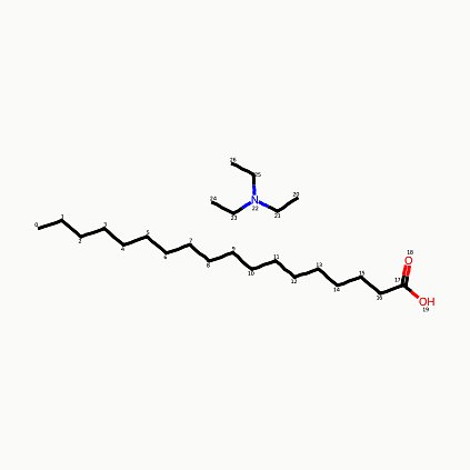 CCCCCCCCCCCCCCCCCC(=O)O.CCN(CC)CC